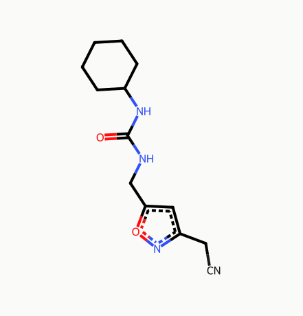 N#CCc1cc(CNC(=O)NC2CCCCC2)on1